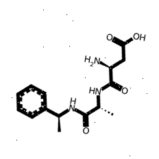 C[C@H](NC(=O)[C@@H](C)NC(=O)[C@@H](N)CC(=O)O)c1ccccc1